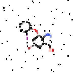 Nc1c(CO)cc(Br)cc1Oc1ccccc1I